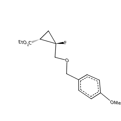 CCOC(=O)[C@@H]1C[C@]1(F)COCc1ccc(OC)cc1